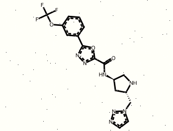 O=C(N[C@H]1CN[C@H](Cn2ccnn2)C1)c1nnc(-c2cccc(OC(F)(F)F)c2)o1